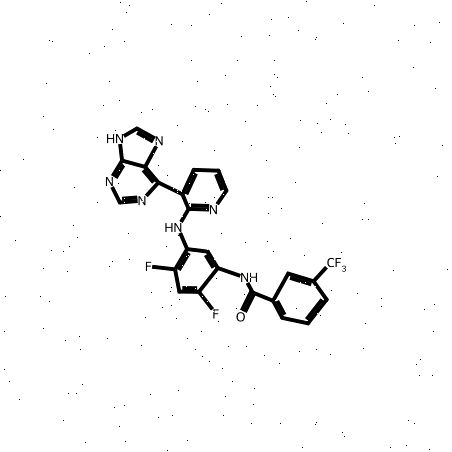 O=C(Nc1cc(Nc2ncccc2-c2ncnc3[nH]cnc23)c(F)cc1F)c1cccc(C(F)(F)F)c1